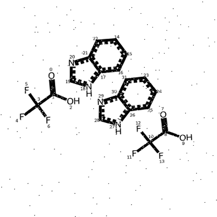 O=C(O)C(F)(F)F.O=C(O)C(F)(F)F.c1ccc2[nH]cnc2c1.c1ccc2[nH]cnc2c1